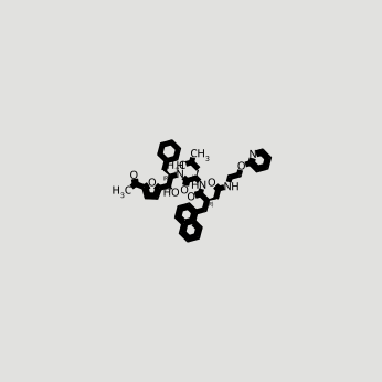 CC(=O)c1ccc([C@@H](O)[C@@H](CC2CCCCC2)NC(=O)[C@H](CC(C)C)NC(=O)[C@@H](CC(=O)NCCOc2ccccn2)Cc2cccc3ccccc23)o1